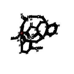 CNCC(=O)N[C@H]1CN2CCNC(=O)C3=CC=C4C(=C(OC)CCC4C3)CN(C1=O)c1ccccc12